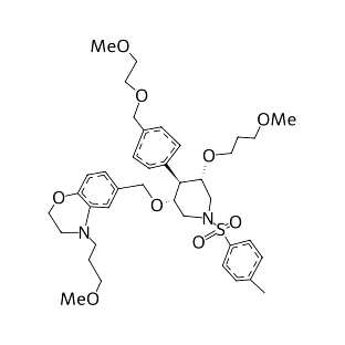 COCCCO[C@@H]1CN(S(=O)(=O)c2ccc(C)cc2)C[C@H](OCc2ccc3c(c2)N(CCCOC)CCO3)[C@H]1c1ccc(COCCOC)cc1